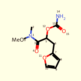 CON(C)C(=O)C(Cc1ccco1)OC(N)=O